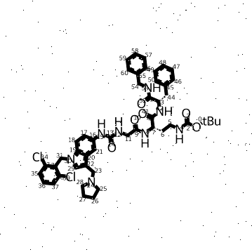 CC(C)(C)OC(=O)NCC[C@H](NC(=O)CNC(=O)Nc1ccc2c(c1)c(CN1CCCC1)cn2Cc1c(Cl)cccc1Cl)C(=O)N[C@@H](Cc1ccccc1)C(=O)NCc1ccccc1